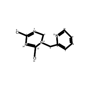 ClC1=NCN(Cc2ccccn2)C(Cl)=N1